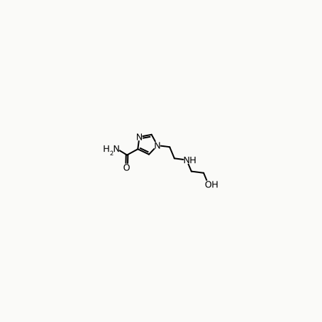 NC(=O)c1cn(CCNCCO)cn1